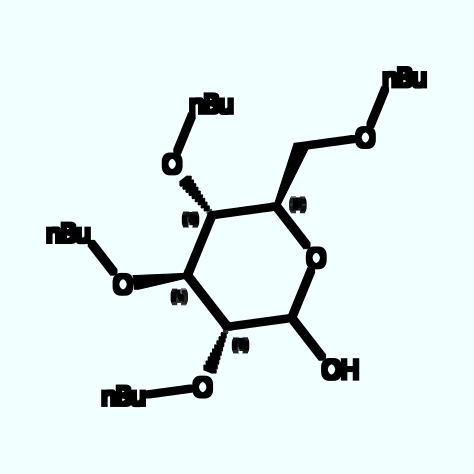 CCCCOC[C@H]1OC(O)[C@H](OCCCC)[C@@H](OCCCC)[C@@H]1OCCCC